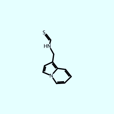 S=CNCc1ccn2ccccc12